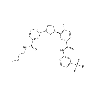 COCCNC(=O)c1cncc(N2CC[C@@H](c3cc(C(=O)Nc4cccc(C(F)(F)F)c4)ccc3C)C2)c1